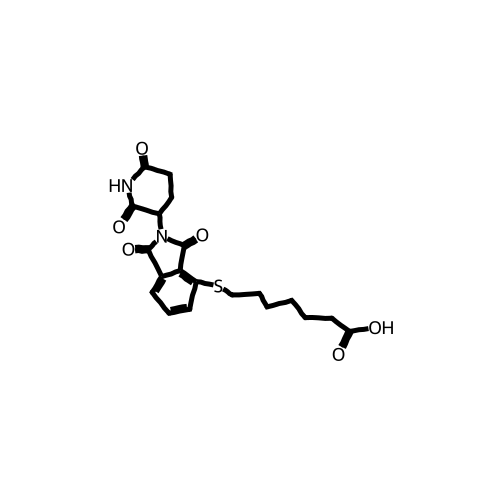 O=C(O)CCCCCCSc1cccc2c1C(=O)N(C1CCC(=O)NC1=O)C2=O